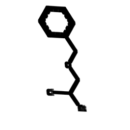 CCC(Cl)COCc1ccccc1